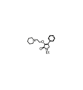 CCN1CC(c2ccccc2)=C(OCCN2CCCCC2)C1=O